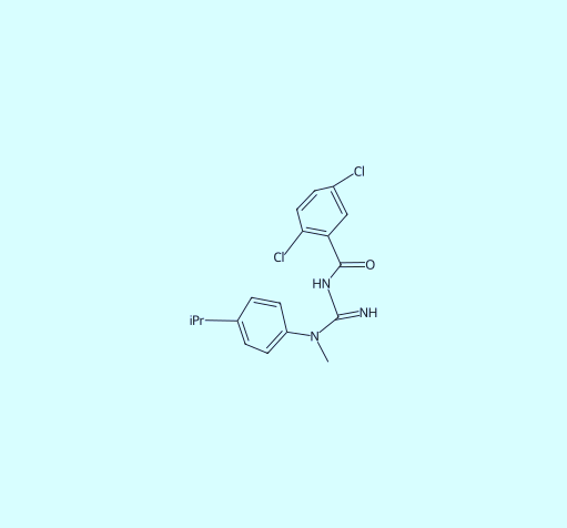 CC(C)c1ccc(N(C)C(=N)NC(=O)c2cc(Cl)ccc2Cl)cc1